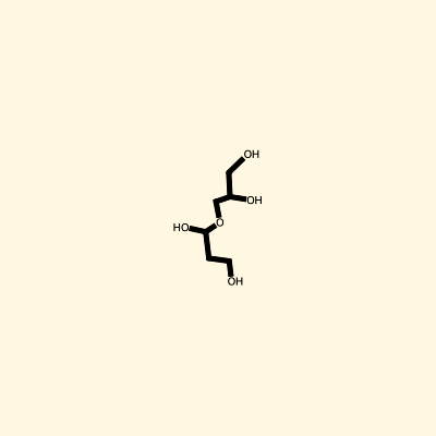 OCCC(O)OCC(O)CO